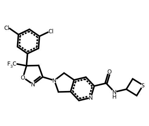 O=C(NC1CSC1)c1cc2c(cn1)CN(C1=NOC(c3cc(Cl)cc(Cl)c3)(C(F)(F)F)C1)C2